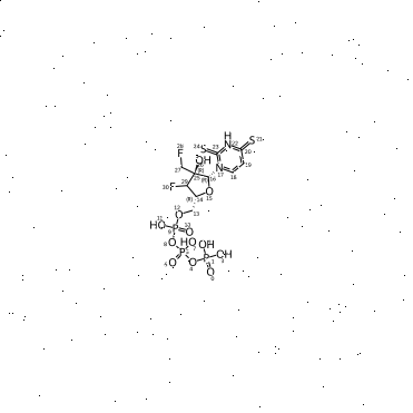 O=P(O)(O)OP(=O)(O)OP(=O)(O)OC[C@H]1O[C@@H](n2ccc(=S)[nH]c2=S)[C@@](O)(CF)C1F